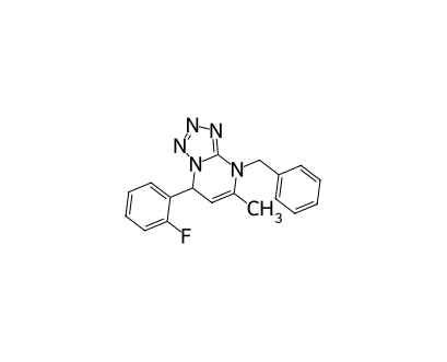 CC1=CC(c2ccccc2F)n2nnnc2N1Cc1ccccc1